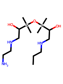 CCCNCC(O)[Si](C)(C)O[Si](C)(C)C(O)CNCCN